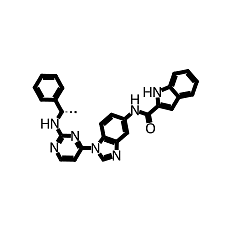 C[C@H](Nc1nccc(-n2cnc3cc(NC(=O)c4cc5ccccc5[nH]4)ccc32)n1)c1ccccc1